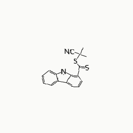 CC(C)(C#N)SC(=S)c1cccc2c1[N]c1ccccc1-2